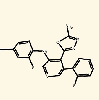 Nc1nnc(-c2c(Nc3ccc(I)cc3F)cncc2-c2ccccc2F)o1